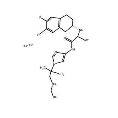 Br.Br.CCCC(N[C@H]1CCc2cc(F)c(Cl)cc2C1)C(=O)Nc1cn(C(C)(C)CNCC(C)(C)C)cn1